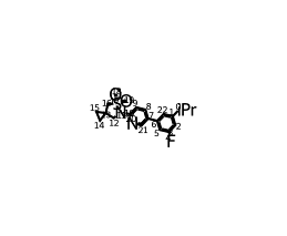 CC(C)c1cc(F)cc(-c2ccc(N3CC4(CC4)CS3(=O)=O)nc2)c1